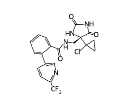 O=C1NC(=O)[C@](CNC(=O)c2ccccc2-c2ccc(C(F)(F)F)nc2)(C2(Cl)CC2)N1